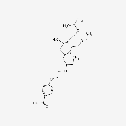 CCOCCOC(CC(C)OCCOC(C)C)CC(CC)OCCOc1ccc(C(=O)O)cc1